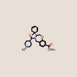 COC(=O)c1ccc2c(c1)OC[C@H](C1(C)C=CC=CC1)N(C(=O)C1CCN(C(C)=O)CC1)C2